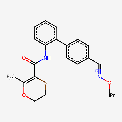 CC(C)O/N=C/c1ccc(-c2ccccc2NC(=O)C2=C(C(F)(F)F)OCCS2)cc1